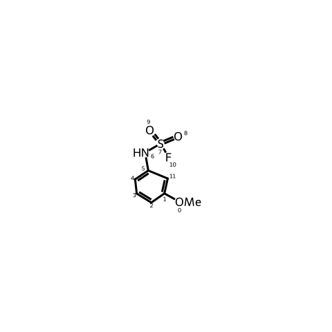 COc1cccc(NS(=O)(=O)F)c1